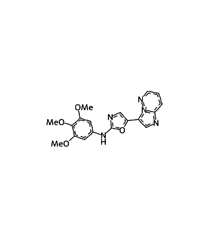 COc1cc(Nc2ncc(-c3cnc4cccnn34)o2)cc(OC)c1OC